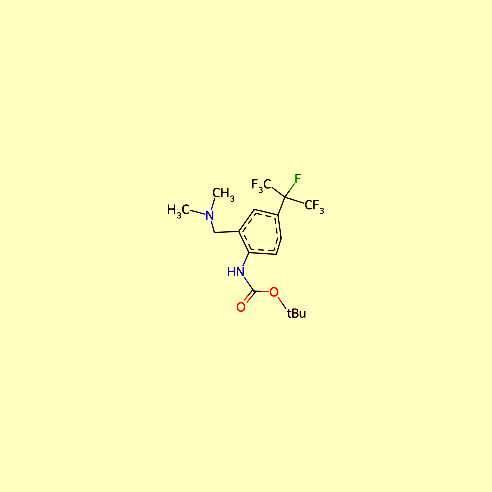 CN(C)Cc1cc(C(F)(C(F)(F)F)C(F)(F)F)ccc1NC(=O)OC(C)(C)C